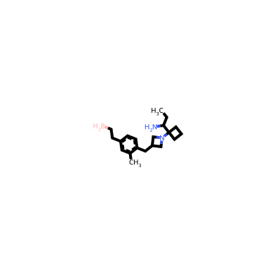 BCCc1ccc(CC2CN(C3(C(N)CC)CCC3)C2)c(C)c1